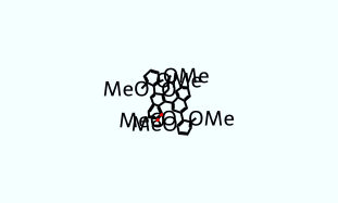 COCOc1c(-c2c(OC)cccc2OC)cc2ccccc2c1-c1c(OCOC)c(-c2c(OC)cccc2OC)cc2ccccc12